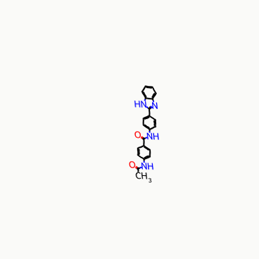 CC(=O)Nc1ccc(C(=O)Nc2ccc(-c3nc4ccccc4[nH]3)cc2)cc1